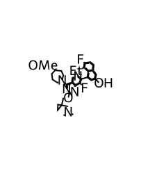 CCc1c(F)ccc2cc(O)cc(-c3ncc4c(N5CCCC(OC)CC5)nc(OCC5(CN(C)C)CC5)nc4c3F)c12